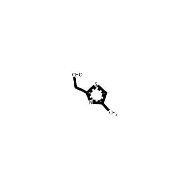 O=CCc1nc(C(F)(F)F)cs1